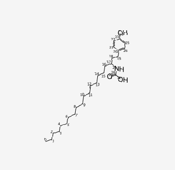 CCCCCCCCCCCCCCCCCC(CCc1ccc(O)cc1)NC(=O)O